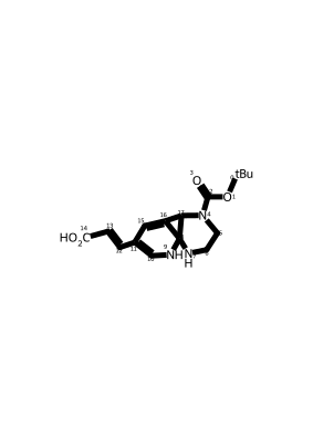 CC(C)(C)OC(=O)N1CCNC23NC=C(/C=C/C(=O)O)C=C2C13